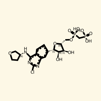 O=P(O)(O)CP(=O)(O)OC[C@H]1O[C@@H](c2ccc3c(N[C@@H]4CCOC4)nc(Cl)nc3c2)[C@H](O)[C@@H]1O